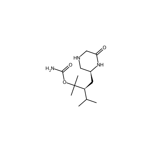 CC(C)[C@H](C[C@H]1CNCC(=O)N1)C(C)(C)OC(N)=O